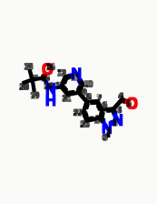 Cn1nc(C=O)c2cc(-c3cncc(NC(=O)C(C)(C)C)c3)ccc21